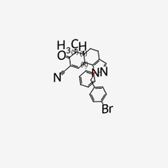 C[C@@H]1C(=O)C(C#N)=C[C@]2(c3ccccc3)c3c(cnn3Cc3ccc(Br)cc3)CC[C@@H]12